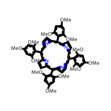 COc1cc(OC)c(-c2c3nc(c(-c4c(OC)cc(OC)cc4OC)c4ccc([nH]4)c(-c4c(OC)cc(OC)cc4OC)c4nc(c(-c5c(OC)cc(OC)cc5OC)c5ccc2[nH]5)C=C4)C=C3)c(OC)c1